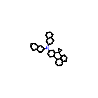 c1ccc2cc(N(c3ccc4c(c3)C3(CC3)c3cccc5cccc-4c35)c3ccc4ccccc4c3)ccc2c1